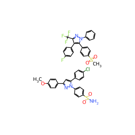 COc1ccc(-c2cc(-c3ccc(Cl)cc3)n(-c3ccc(S(N)(=O)=O)cc3)n2)cc1.CS(=O)(=O)c1ccc(-c2c(-c3ccc(F)cc3)c(C(F)(F)F)nn2-c2ccccc2)cc1